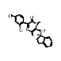 Cc1nc(-c2ccc(Cl)cc2Cl)c(=O)n(C)c1N[C@@H]1[CH]Cc2ccccc21